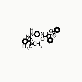 CN(C)c1nc(N[C@H]2CC[C@@H](NC(=O)C3=CC(S(=O)(=O)c4ccccc4)c4ccccc43)CC2)nc2ccccc12